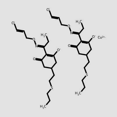 CCCSCCC1CC(=O)C(C(CC)=NOC/C=C/Cl)=C([O-])C1.CCCSCCC1CC(=O)C(C(CC)=NOC/C=C/Cl)=C([O-])C1.[Cu+2]